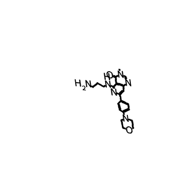 Cn1cnc2cc(-c3ccc(N4CCOCC4)cc3)nc(NCCCN)c2c1=O